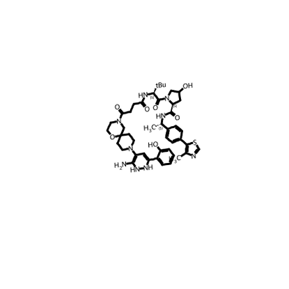 Cc1ncsc1-c1ccc([C@H](C)NC(=O)[C@@H]2CC(O)CN2C(=O)[C@@H](NC(=O)CCC(=O)N2CCOC3(CCN(C4=C(N)NNC(c5ccccc5O)=C4)CC3)C2)C(C)(C)C)cc1